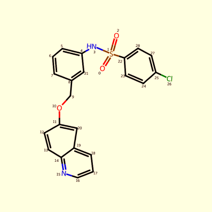 O=S(=O)(Nc1cccc(COc2ccc3ncccc3c2)c1)c1ccc(Cl)cc1